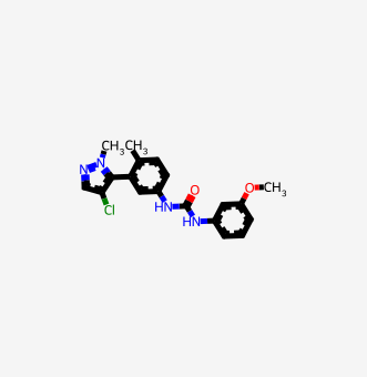 COc1cccc(NC(=O)Nc2ccc(C)c(-c3c(Cl)cnn3C)c2)c1